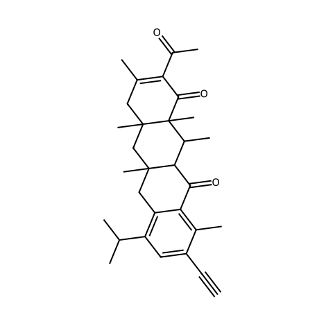 C#Cc1cc(C(C)C)c2c(c1C)C(=O)C1C(C)C3(C)C(=O)C(C(C)=O)=C(C)CC3(C)CC1(C)C2